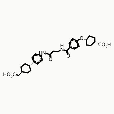 O=C(O)C[C@H]1CC[C@H](c2ccc(NC(=O)CCNC(=O)c3ccc(O[C@H]4CC[C@@H](C(=O)O)CC4)cc3)cc2)CC1